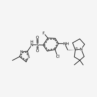 Cc1csc(NS(=O)(=O)c2cc(Cl)c(NC[C@]34CCCN3CC(C)(C)C4)cc2F)n1